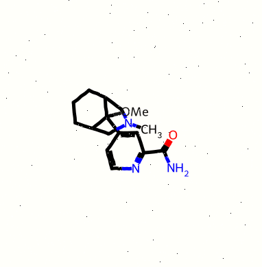 COC1(c2ccnc(C(N)=O)c2)C2CCCC1CN(C)C2